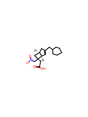 O=C(O)C[C@@]1(C[N+](=O)[O-])C[C@H]2CC(CC3CCCCC3)=C[C@H]21